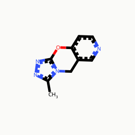 Cc1nnc2n1Cc1cnccc1O2